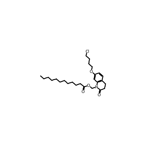 CCCCCCCCCCCC(=O)OCN1C(=O)CCc2ccc(OCCCCCl)cc21